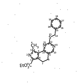 CCOC(=O)c1nn(C)c2c1CCc1cnc(SCc3ccccc3)nc1-2